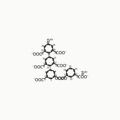 O=C([O-])c1cccc(C(=O)[O-])c1.O=C([O-])c1cccc(C(=O)[O-])c1.O=C([O-])c1cccc(C(=O)[O-])c1.O=C([O-])c1cccc(C(=O)[O-])c1.[Ti+4].[Ti+4]